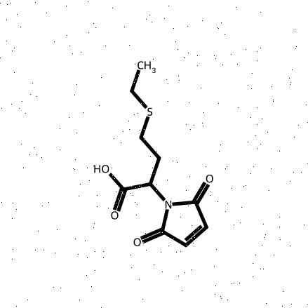 CCSCCC(C(=O)O)N1C(=O)C=CC1=O